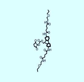 CCCOCCNC(=O)CCCC(=O)Nc1ccc2c(c1)C(COC(=O)ON1C(=O)CCC1=O)c1cc(NC(=O)CCCC(=O)NCCOCCC)ccc1-2